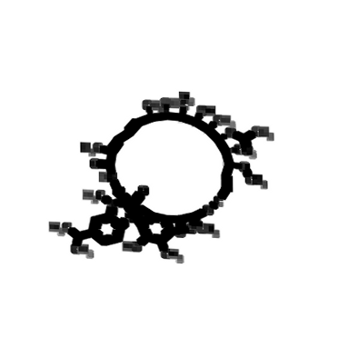 CO[C@H]1/C=C/CO[C@@]2(C)Oc3c(C)c(O)c4c(=O)c(c5n(C)c6cc(C(C)C)ccc6nc-5c4c3C2=O)NC(=O)/C(C)=C\C=C\[C@H](C)[C@H](O)[C@@H](C)[C@@H](O)[C@@H](C)[C@H](OC(C)=O)[C@@H]1C